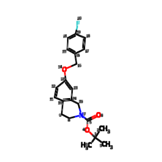 CC(C)(C)OC(=O)N1CCc2ccc(OCc3ccc(F)cc3)cc2C1